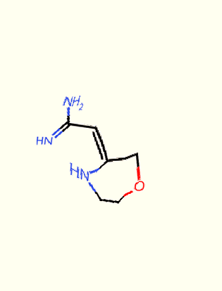 N=C(N)/C=C1/COCCN1